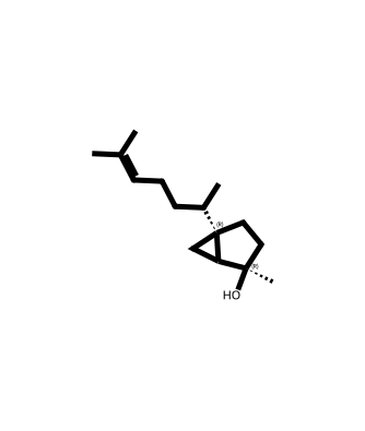 CC(C)=CCCC(C)[C@]12CC[C@@](C)(O)C1C2